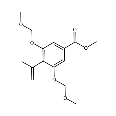 C=C(C)c1c(OCOC)cc(C(=O)OC)cc1OCOC